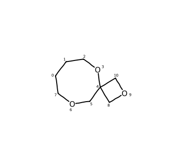 C1CCOC2(COC1)COC2